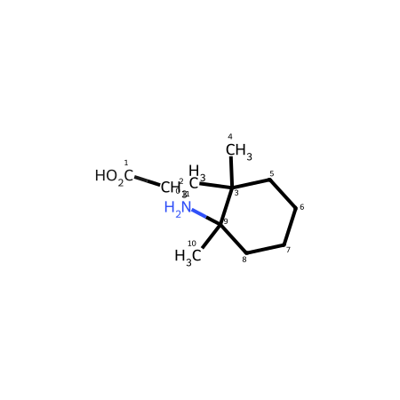 CC(=O)O.CC1(C)CCCCC1(C)N